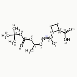 CC(O/N=[N+](\[O-])N1CC[C@H]1C(=O)O)OC(=O)OC(C)(C)C